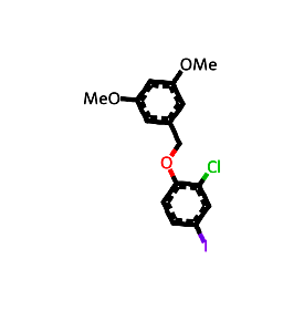 COc1cc(COc2ccc(I)cc2Cl)cc(OC)c1